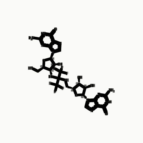 Nc1nc2c(ncn2[C@@H]2O[C@H](CNC(N[C@H]3[C@@H](O)[C@H](n4cnc5c(=O)[nH]c(N)nc54)O[C@@H]3CO)(C(F)(F)F)C(F)(F)F)[C@H](O)[C@H]2O)c(=O)[nH]1